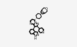 c1cc(-c2c(-c3ccncc3)nn3c2nccc3[C@H]2CC[C@@H](N3C4CCC3COC4)CC2)c2cn[nH]c2c1